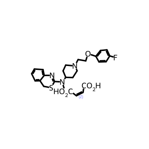 CN(C1=Nc2ccccc2CS1)C1CCN(CCOc2ccc(F)cc2)CC1.O=C(O)/C=C\C(=O)O